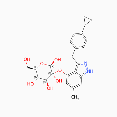 Cc1cc(O[C@]2(O)[C@H](O)O[C@H](CO)[C@@H](O)[C@@H]2O)c2c(Cc3ccc(C4CC4)cc3)n[nH]c2c1